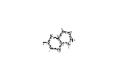 Cc1cnc2nnccc2c1